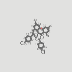 Cc1cc(C)c(C(OC(=O)c2ccc(Cl)cc2)=C(OC(=O)c2ccc(Cl)cc2)c2c(C)cc(C)cc2C)c(C)c1